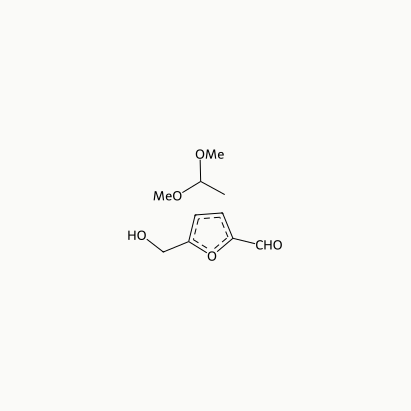 COC(C)OC.O=Cc1ccc(CO)o1